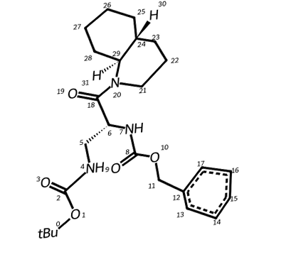 CC(C)(C)OC(=O)NC[C@@H](NC(=O)OCc1ccccc1)C(=O)N1CCC[C@H]2CCCC[C@@H]21